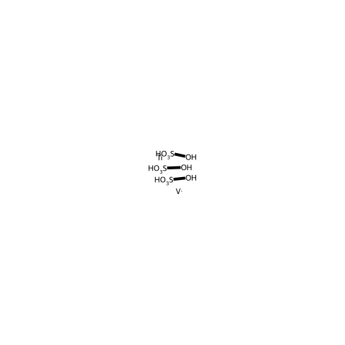 O=S(=O)(O)O.O=S(=O)(O)O.O=S(=O)(O)O.[Ti].[V]